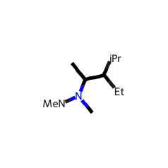 CCC(C(C)C)C(C)N(C)NC